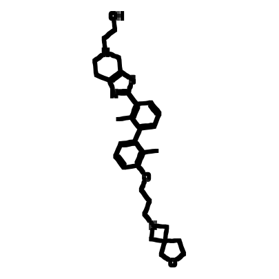 Cc1c(OCCCN2CC3(CCOC3)C2)cccc1-c1cccc(-c2nc3c(s2)CN(CCO)CC3)c1C